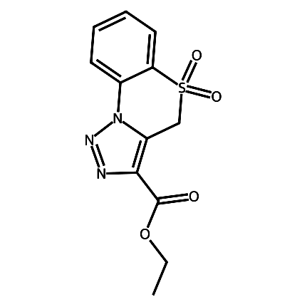 CCOC(=O)c1nnn2c1CS(=O)(=O)c1ccccc1-2